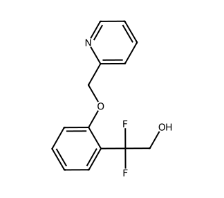 OCC(F)(F)c1ccccc1OCc1ccccn1